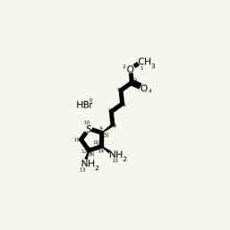 Br.COC(=O)CCCC[C@@H]1SC[C@H](N)[C@@H]1N